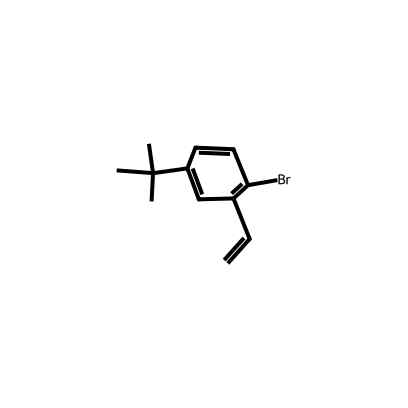 C=Cc1cc(C(C)(C)C)ccc1Br